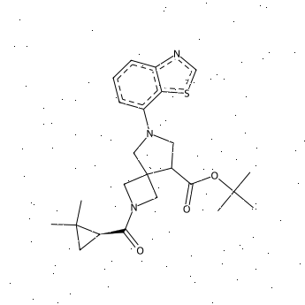 CC(C)(C)OC(=O)C1CN(c2cccc3ncsc23)CC12CN(C(=O)[C@H]1CC1(C)C)C2